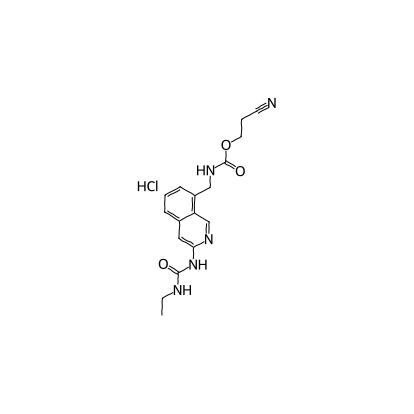 CCNC(=O)Nc1cc2cccc(CNC(=O)OCCC#N)c2cn1.Cl